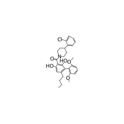 CCCCc1cc(O)c(C(=O)N2CCC(c3ccccc3Cl)CC2)c(O)c1-c1c(OC)cccc1OC